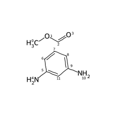 COC=O.Nc1cccc(N)c1